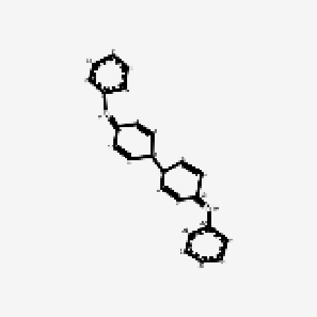 C1=CC(C2C=CC(=Nc3ccccc3)C=C2)C=CC1=Nc1ccccc1